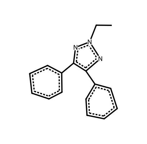 CCn1nc(-c2ccccc2)c(-c2ccccc2)n1